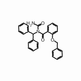 NC(=O)N(C(=O)c1ccccc1OCc1ccccc1)C(c1ccccc1)c1ccccc1